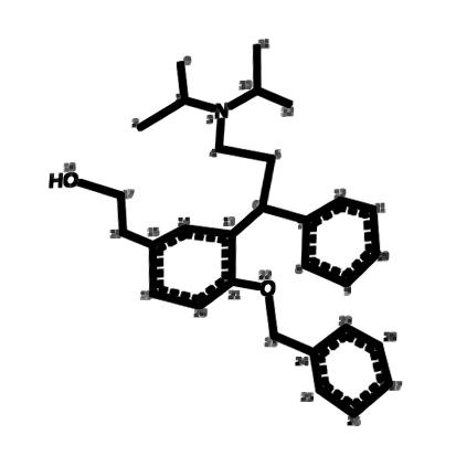 CC(C)N(CCC(c1ccccc1)c1cc(CCO)ccc1OCc1ccccc1)C(C)C